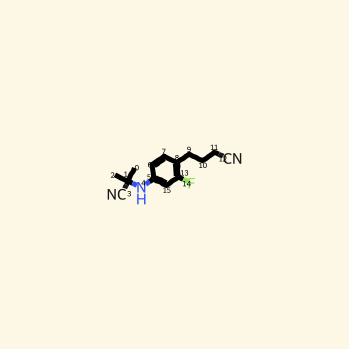 CC(C)(C#N)Nc1ccc(CCCC#N)c(F)c1